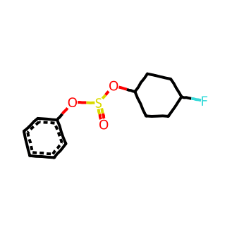 O=S(Oc1ccccc1)OC1CCC(F)CC1